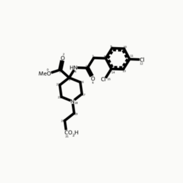 COC(=O)C1(NC(=O)Cc2ccc(Cl)cc2Cl)CCN(CCC(=O)O)CC1